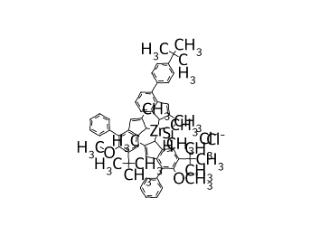 COc1c(C(C)(C)C)cc2c(c1-c1ccccc1)C=C(C)[CH]2[Zr]([CH]1C(C)=Cc2c(-c3ccc(C(C)(C)C)cc3)cccc21)([CH]1C(C)=Cc2c1cc(C(C)(C)C)c(OC)c2-c1ccccc1)[SiH](C)C.[Cl-].[Cl-]